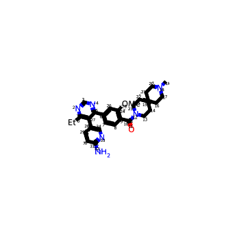 CCc1ncnc(-c2ccc(C(=O)N3CCC4(CCN(C)CC4)CC3)c(OC)c2)c1-c1ccc(N)nc1